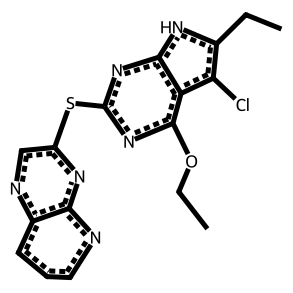 CCOc1nc(Sc2cnc3cccnc3n2)nc2[nH]c(CC)c(Cl)c12